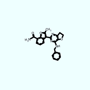 Cc1oc2c(C(N)=O)cccc2c1-c1nc2c(c(NCc3ccccc3)n1)OCC2